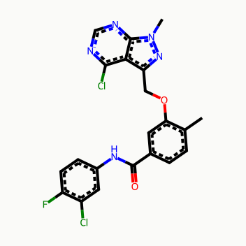 Cc1ccc(C(=O)Nc2ccc(F)c(Cl)c2)cc1OCc1nn(C)c2ncnc(Cl)c12